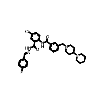 O=C(Nc1ccc(Cl)cc1C(=O)N/N=C/c1ccc(F)cc1)c1cccc(CN2CCC(N3CCCCC3)CC2)c1